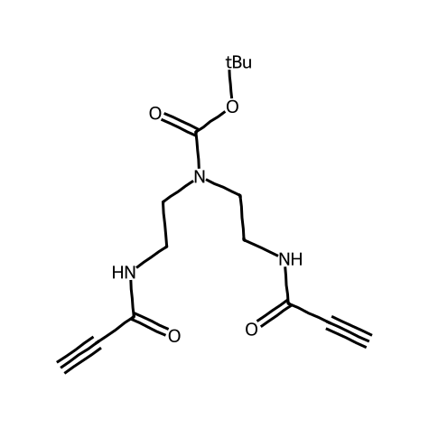 C#CC(=O)NCCN(CCNC(=O)C#C)C(=O)OC(C)(C)C